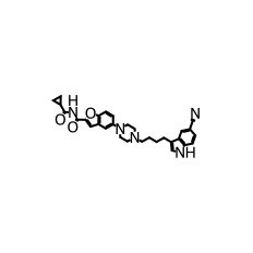 N#Cc1ccc2[nH]cc(CCCCN3CCN(c4ccc5oc(C(=O)NC(=O)C6CC6)cc5c4)CC3)c2c1